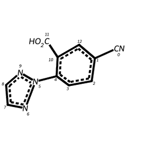 N#Cc1ccc(-n2nccn2)c(C(=O)O)c1